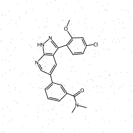 COc1cc(Cl)ccc1-c1n[nH]c2ncc(-c3cccc(C(=O)N(C)C)c3)cc12